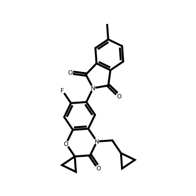 Cc1ccc2c(c1)C(=O)N(c1cc3c(cc1F)OC1(CC1)C(=O)N3CC1CC1)C2=O